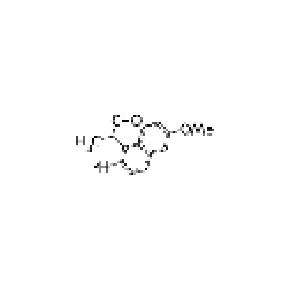 [2H]c1ccc2cc(OC)ccc2c1C(C)C=O